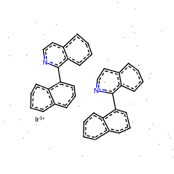 [Ir+3].c1ccc2c(-c3nccc4ccccc34)cccc2c1.c1ccc2c(-c3nccc4ccccc34)cccc2c1